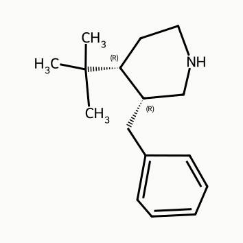 CC(C)(C)[C@@H]1CCNC[C@@H]1Cc1ccccc1